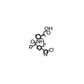 Cc1c(NC(=O)[C@H](c2ccc(-c3cncc(Cl)c3)c(F)c2)C2CCC2)cccc1[C@H](C)CC(=O)O